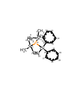 CC(C)(C)[Si](C)(C)P([Si](C)(C)C)[Si](c1ccccc1)(c1ccccc1)C(C)(C)C